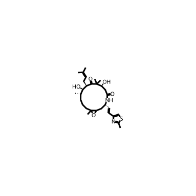 CC(C)=CC[C@H]1C(=O)C(C)(C)[C@@H](O)CC(=O)N[C@H](C=Cc2csc(C)n2)CC2OC2(C)CCC[C@H](C)[C@H]1O